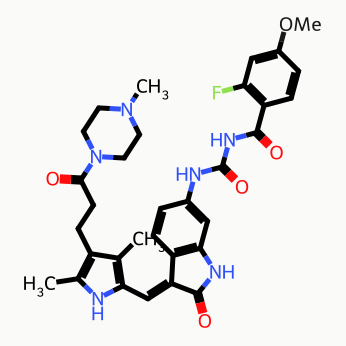 COc1ccc(C(=O)NC(=O)Nc2ccc3c(c2)NC(=O)C3=Cc2[nH]c(C)c(CCC(=O)N3CCN(C)CC3)c2C)c(F)c1